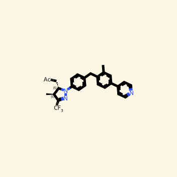 CC(=O)C[C@H]1[C@H](C)C(C(F)(F)F)=NN1c1ccc(Cc2ccc(-c3ccncc3)cc2C)cc1